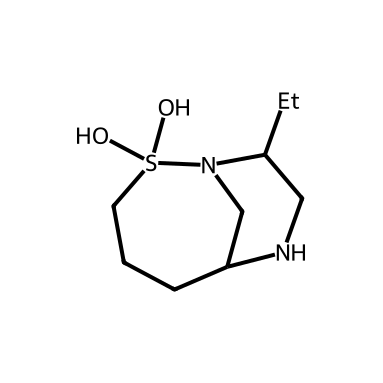 [CH2]CC1CNC2CCCS(O)(O)N1C2